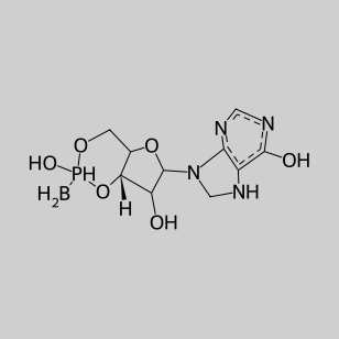 B[PH]1(O)OCC2OC(N3CNc4c(O)ncnc43)C(O)[C@@H]2O1